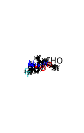 Cn1cnnc1C1(c2cccc(-n3cc(C4CC4)c4cc(C=O)n(COCC[Si](C)(C)C)c4c3=O)c2)CC(F)(F)C1